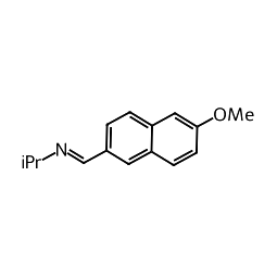 COc1ccc2cc(/C=N/C(C)C)ccc2c1